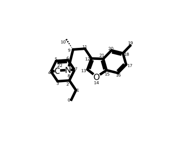 CCC1CC2C=CC1N([C@H](C)Cc1coc3ccc(C)cc13)C2